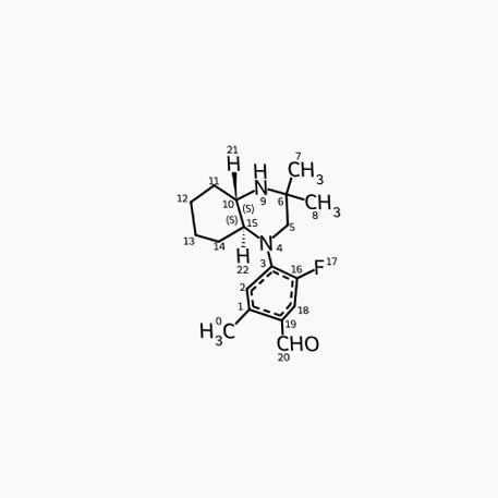 Cc1cc(N2CC(C)(C)N[C@H]3CCCC[C@@H]32)c(F)cc1C=O